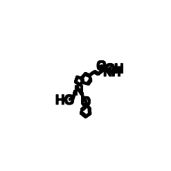 O=C(C=Cc1ccc2c(c1)CCC2N(CCO)CCOc1ccccc1)NO